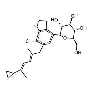 C/C(=C\C=C(/C)C1CC1)Cc1cc(C2O[C@H](CO)[C@@H](O)[C@H](O)[C@H]2O)c2c(c1Cl)OCC2